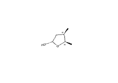 C[C@@H]1CC(O)O[C@@H]1C